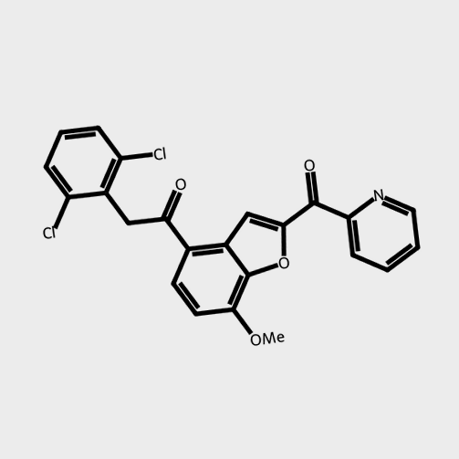 COc1ccc(C(=O)Cc2c(Cl)cccc2Cl)c2cc(C(=O)c3ccccn3)oc12